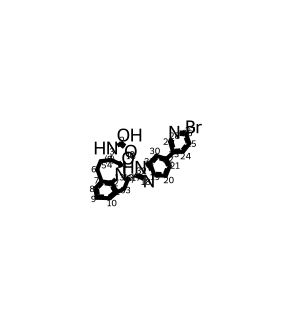 O=C(O)N[C@H]1CCc2cccc3c2N(C1=O)[C@H](c1nc2ccc(-c4ccc(Br)nc4)cc2[nH]1)C3